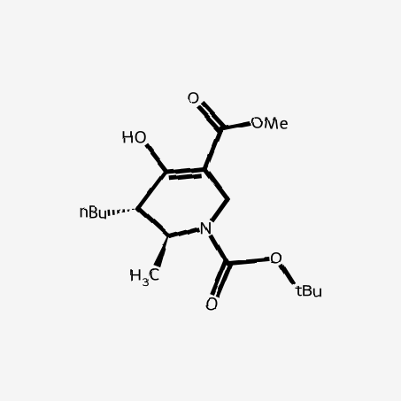 CCCC[C@@H]1C(O)=C(C(=O)OC)CN(C(=O)OC(C)(C)C)[C@H]1C